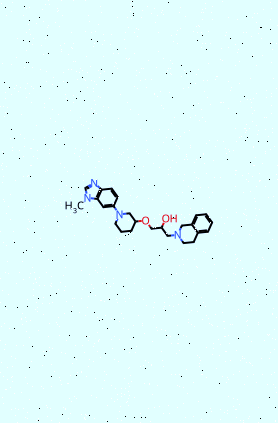 Cn1cnc2ccc(N3CCCC(OCC(O)CN4CCc5ccccc5C4)C3)cc21